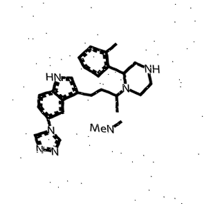 CNC.Cc1ccccc1C1CNCCN1C(C)CCc1c[nH]c2ccc(-n3cnnc3)cc12